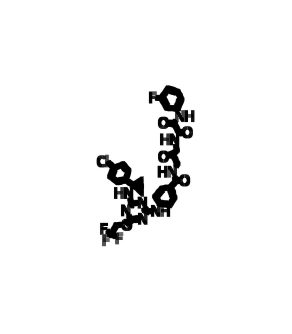 O=C(CNC(=O)C(=O)Nc1cccc(F)c1)CNC(=O)c1ccc(Nc2nc(NC3(c4ccc(Cl)cc4)CC3)nc(OCC(F)(F)F)n2)cc1